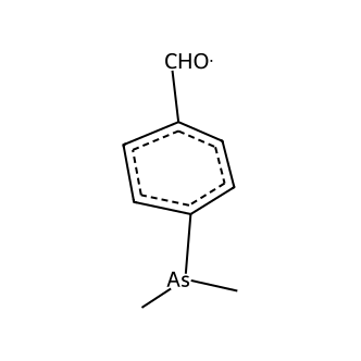 C[As](C)c1ccc([C]=O)cc1